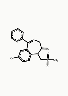 CS(=O)(=O)CN1C(=O)CN=C(c2ccccn2)c2cc(Cl)ccc21